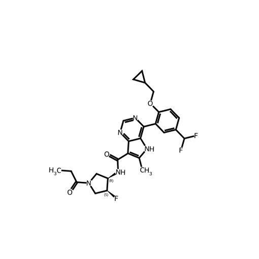 CCC(=O)N1C[C@H](F)[C@H](NC(=O)c2c(C)[nH]c3c(-c4cc(C(F)F)ccc4OCC4CC4)ncnc23)C1